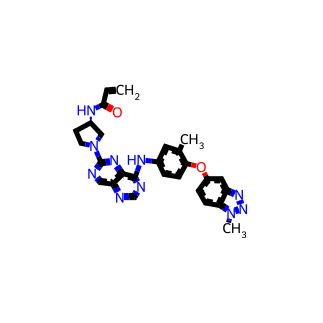 C=CC(=O)N[C@H]1CCN(c2ncc3ncnc(Nc4ccc(Oc5ccc6c(c5)nnn6C)c(C)c4)c3n2)C1